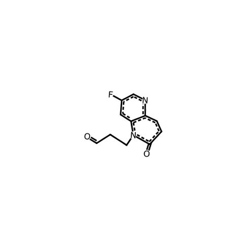 O=CCCn1c(=O)ccc2ncc(F)cc21